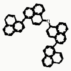 C1=Cc2c(-c3ccc4cccc5c4c3C=CC5OC3C=Cc4c(-c5ccc6cccc7c6c5C=CC7)ccc5cccc3c45)ccc3cccc(c23)C1